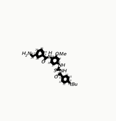 COc1cc(NC(=S)NC(=O)c2ccc(C(C)(C)C)cc2)ccc1NC(=O)c1cccc(CN)c1